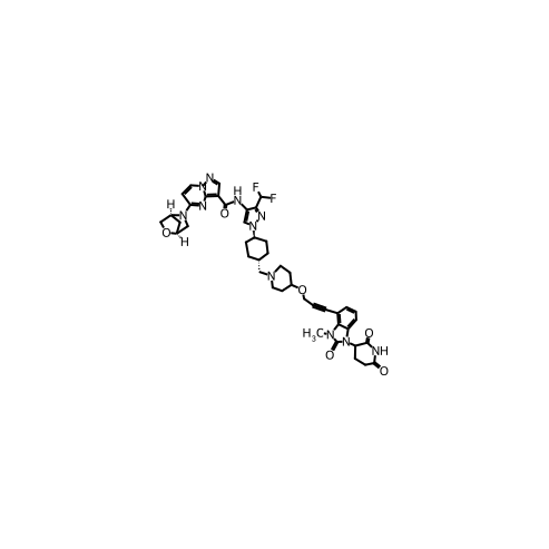 Cn1c(=O)n(C2CCC(=O)NC2=O)c2cccc(C#CCOC3CCN(C[C@H]4CC[C@H](n5cc(NC(=O)c6cnn7ccc(N8C[C@@H]9C[C@H]8CO9)nc67)c(C(F)F)n5)CC4)CC3)c21